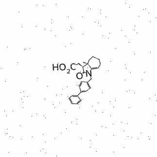 C[C@@]12CCCCC=C1N(Cc1ccc(-c3ccccc3)cc1)C(=O)[C@H]2CC(=O)O